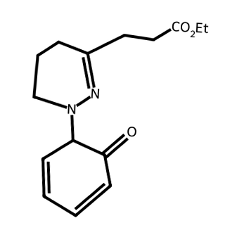 CCOC(=O)CCC1=NN(C2C=CC=CC2=O)CCC1